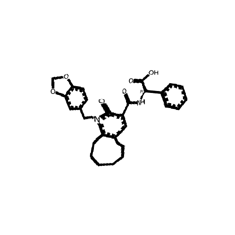 O=C(N[C@@H](C(=O)O)c1ccccc1)c1cc2c(n(Cc3ccc4c(c3)OCO4)c1=O)CCCCCC2